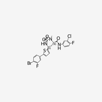 CN1[C@@H](C(=O)Nc2ccc(F)c(Cl)c2)C[C@@H](c2ccc(-c3ccc(Br)c(F)c3)s2)NS1(=O)=O